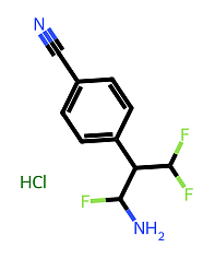 Cl.N#Cc1ccc(C(C(N)F)C(F)F)cc1